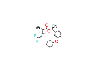 CC(C)C(C(=O)OC(C#N)c1cccc(Oc2ccccc2)c1)C(C)(C)C=C(F)F